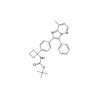 Cc1ccnn2c(-c3ccccc3)c(-c3ccc(C4(NC(=O)OC(C)(C)C)CCC4)cc3)nc12